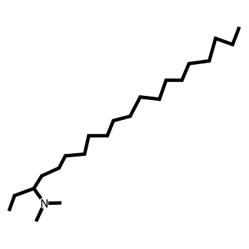 CCCCCCCCCCCCCCCCCC(CC)N(C)C